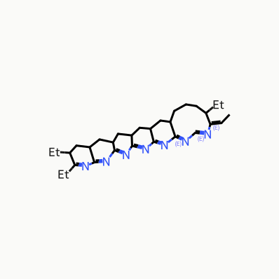 C/C=C1/N=C/N=C2/N=C3N=C4N=C5N=C6N=C(CC)C(CC)CC6CC5CC4CC3CC2CCCC1CC